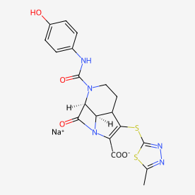 Cc1nnc(SC2=C(C(=O)[O-])N3C(=O)[C@@H]4[C@H]3C2CCN4C(=O)Nc2ccc(O)cc2)s1.[Na+]